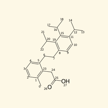 Cc1cccc(CCc2ccc(C(C)C)c(C(C)C)c2C(C)C)c1CC(=O)O